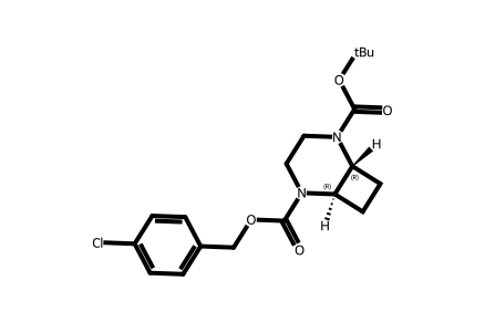 CC(C)(C)OC(=O)N1CCN(C(=O)OCc2ccc(Cl)cc2)[C@@H]2CC[C@H]21